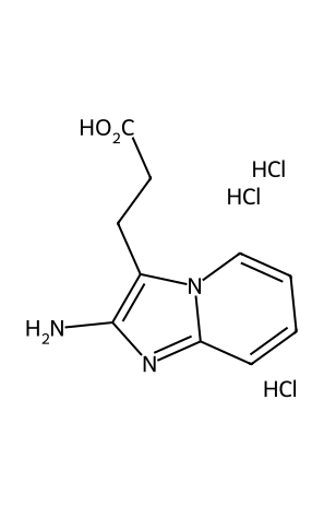 Cl.Cl.Cl.Nc1nc2ccccn2c1CCC(=O)O